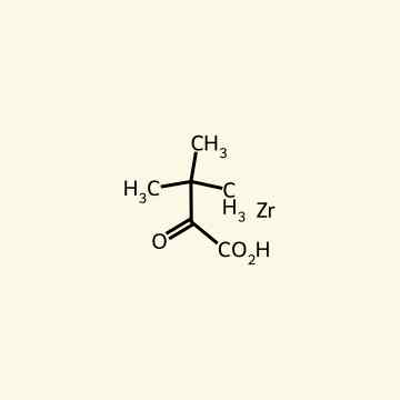 CC(C)(C)C(=O)C(=O)O.[Zr]